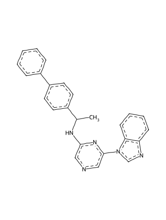 CC(Nc1cncc(-n2cnc3ccccc32)n1)c1ccc(-c2ccccc2)cc1